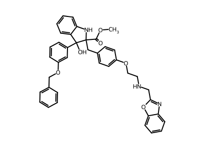 COC(=O)C1(Cc2ccc(OCCNCc3nc4ccccc4o3)cc2)Nc2ccccc2C1(O)c1cccc(OCc2ccccc2)c1